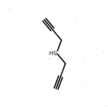 C#CC[SiH]CC#C